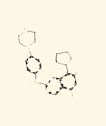 Cc1cc(O)c(C2CCCC2)c2nc(Nc3ccc(N4CCNCC4)cc3)ncc12